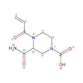 C=CC(=O)N1CCN(C(=O)O)CC1C(N)=O